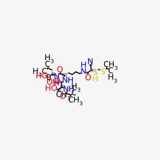 CC(C)C[C@H](NC(=O)[C@H](CCCCNC(=O)/C(C#N)=[SH]/CSC(C)C)NC(=O)[C@@H](NC(=O)C(C)C)[C@@H](C)O)B(O)O